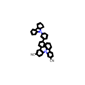 N#Cc1ccc(-n2c3ccccc3c3ccc(C#N)cc32)c(-c2ccc(-c3cccc(-n4c5c(c6ccccc64)C=CCC5)c3)cc2)c1